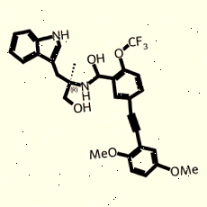 COc1ccc(OC)c(C#Cc2ccc(OC(F)(F)F)c(C(O)N[C@@](C)(CO)Cc3c[nH]c4ccccc34)c2)c1